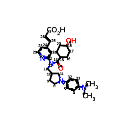 CN(C)c1ccc(N2CCC(CN(C(=O)C3CCC(O)CC3)c3cc(/C=C/C(=O)O)ccn3)C2)cc1